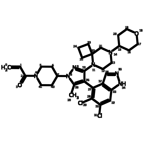 C=CC(=O)N1CCC(n2nc(N3CCN(C4CCOCC4)CC34CCC4)c(-c3c(Cl)c(Cl)cc4[nH]ncc34)c2C)CC1